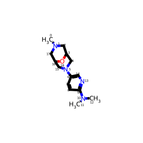 CN1CC2CN(c3ccc(N(C)C)nc3)CC(C1)O2